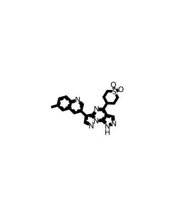 Cc1ccc2ncc(-c3cnn4c3nc(C3CCS(=O)(=O)CC3)c3cn[nH]c34)cc2c1